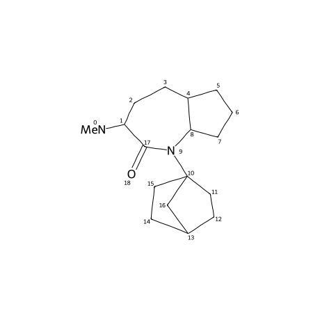 CNC1CCC2CCCC2N(C23CCC(CC2)C3)C1=O